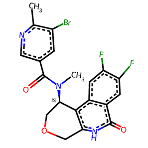 Cc1ncc(C(=O)N(C)[C@@H]2COCc3[nH]c(=O)c4cc(F)c(F)cc4c32)cc1Br